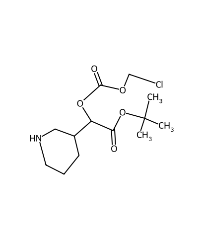 CC(C)(C)OC(=O)C(OC(=O)OCCl)C1CCCNC1